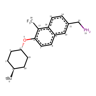 CC(C)(C)[C@H]1CC[C@H](Oc2ccc3cc(CP)ccc3c2C(F)(F)F)CC1